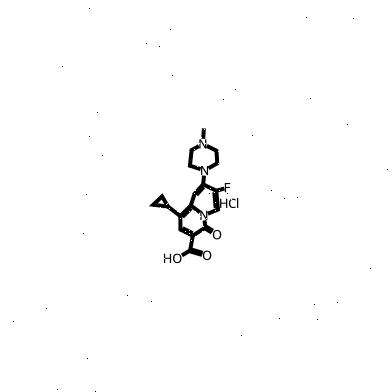 CN1CCN(c2cc3c(C4CC4)cc(C(=O)O)c(=O)n3cc2F)CC1.Cl